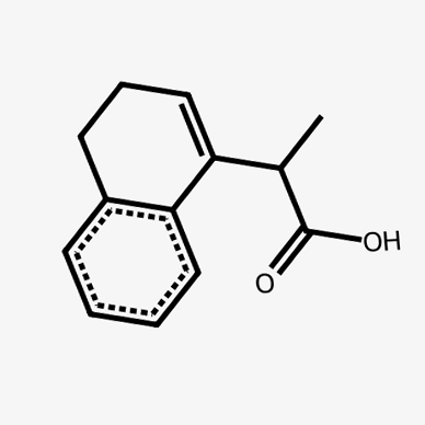 CC(C(=O)O)C1=CCCc2ccccc21